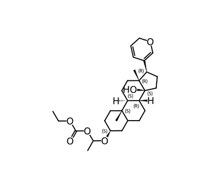 CCOC(=O)OC(C)O[C@H]1CC[C@@]2(C)C(CC[C@@H]3[C@@H]2CC[C@]2(C)[C@@H](C4=COCC=C4)CC[C@]32O)C1